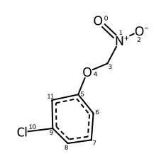 O=[N+]([O-])COc1cccc(Cl)c1